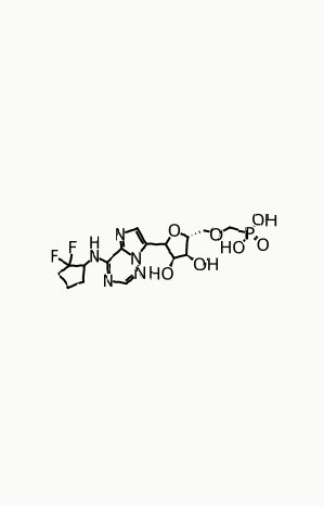 O=P(O)(O)COC[C@H]1OC(c2cnc3c(NC4CCCC4(F)F)ncnn23)[C@H](O)[C@@H]1O